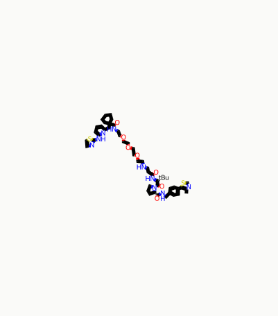 Cc1ncsc1-c1ccc(CNC(=O)[C@@H]2CCCN2C(=O)C(NC(=O)CCNCCOCCOCCOCCNC(=O)C2(Cc3cccc(Nc4nccs4)n3)CCCCC2)C(C)(C)C)cc1